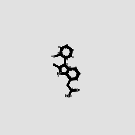 Cc1[nH]c2c(CC(=O)O)cccc2c1-c1ccccc1F